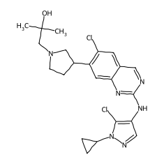 CC(C)(O)CN1CCC(c2cc3nc(Nc4cnn(C5CC5)c4Cl)ncc3cc2Cl)C1